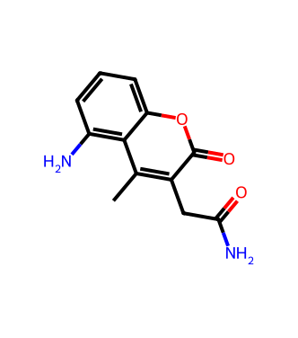 Cc1c(CC(N)=O)c(=O)oc2cccc(N)c12